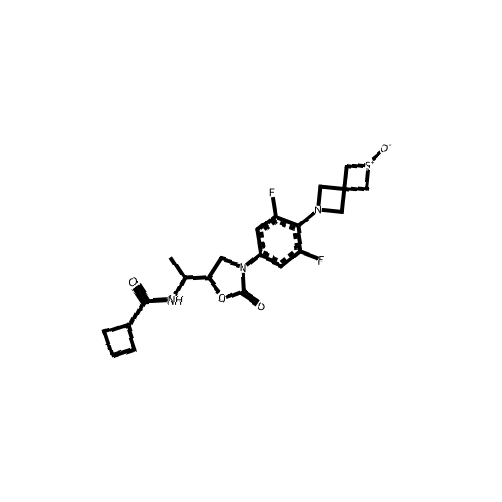 CC(NC(=O)C1CCC1)C1CN(c2cc(F)c(N3CC4(C3)C[S+]([O-])C4)c(F)c2)C(=O)O1